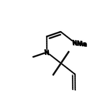 C=CC(C)(C)N(C)/C=C\NC